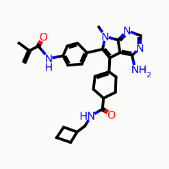 C=C(C)C(=O)Nc1ccc(-c2c(C3=CCC(C(=O)NCC4CCC4)CC3)c3c(N)ncnc3n2C)cc1